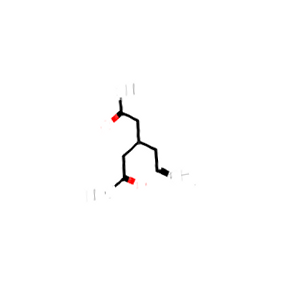 C=CCC(CC(C)=O)CC(C)=O